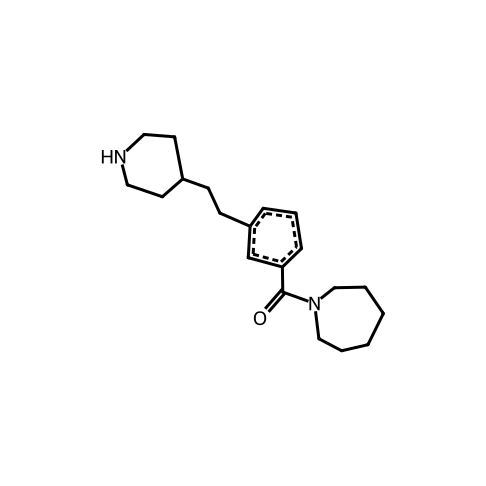 O=C(c1cccc(CCC2CCNCC2)c1)N1CCCCCC1